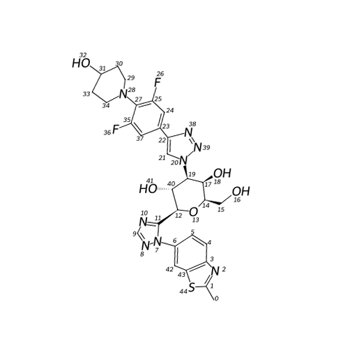 Cc1nc2ccc(-n3ncnc3[C@@H]3O[C@H](CO)[C@H](O)[C@H](n4cc(-c5cc(F)c(N6CCC(O)CC6)c(F)c5)nn4)[C@H]3O)cc2s1